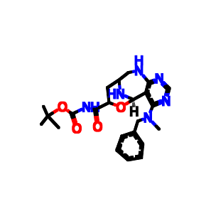 CN(Cc1ccccc1)c1ncnc2c1[C@@H]1NC(CN2)CC(C(=O)NC(=O)OC(C)(C)C)O1